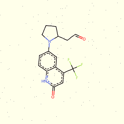 O=CCC1CCCN1c1ccc2[nH]c(=O)cc(C(F)(F)F)c2c1